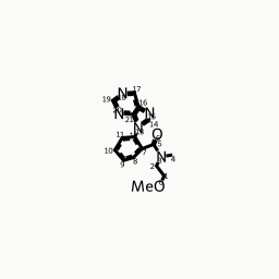 COCCN(C)C(=O)c1ccccc1-n1cnc2cncnc21